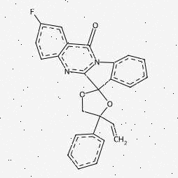 C=CC1(c2ccccc2)COC2(O1)c1ccccc1-n1c2nc2ccc(F)cc2c1=O